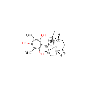 C=C1CC[C@@H]2[C@H]([C@H]3[C@H]1CC[C@]3(C)[C@@H](CC(C)C)c1c(O)c(C=O)c(O)c(C=O)c1O)C2(C)C